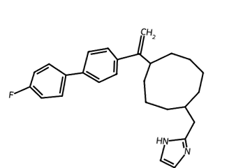 C=C(c1ccc(-c2ccc(F)cc2)cc1)C1CCCCC(Cc2ncc[nH]2)CCC1